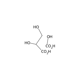 O=C(O)C(O)CO.O=C(O)O